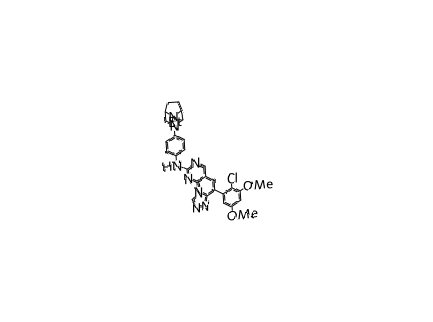 CCN1C2CCC1CN(c1ccc(Nc3ncc4cc(-c5cc(OC)cc(OC)c5Cl)c5nncn5c4n3)cc1)C2